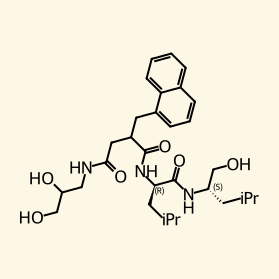 CC(C)C[C@@H](CO)NC(=O)[C@@H](CC(C)C)NC(=O)C(CC(=O)NCC(O)CO)Cc1cccc2ccccc12